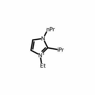 CCCn1cc[n+](CC)c1C(C)C